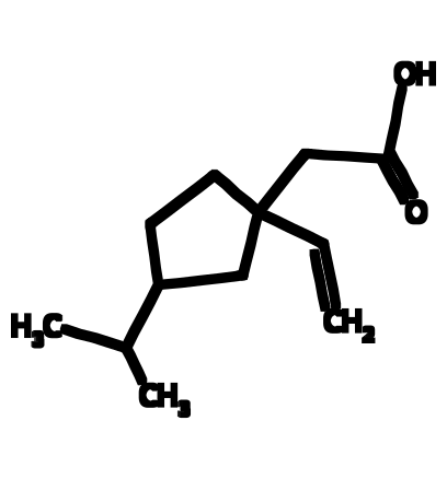 C=CC1(CC(=O)O)CCC(C(C)C)C1